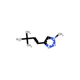 Cn1cc(/C=C/C(C)(C)C)nn1